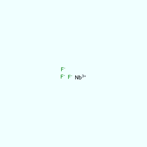 [F-].[F-].[F-].[Nb+3]